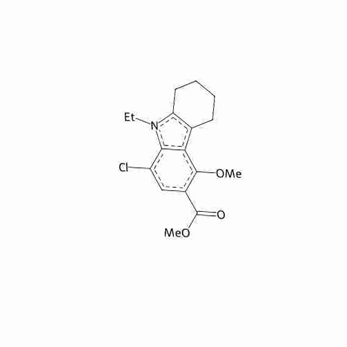 CCn1c2c(c3c(OC)c(C(=O)OC)cc(Cl)c31)CCCC2